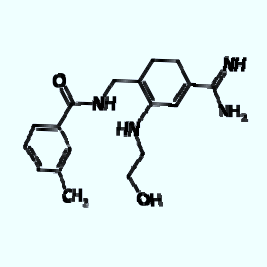 Cc1cccc(C(=O)NCC2=C(NCCO)C=C(C(=N)N)CC2)c1